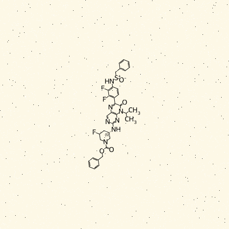 CC(C)n1c(=O)c(-c2ccc(N[S+]([O-])Cc3ccccc3)c(F)c2F)nc2cnc(N[C@H]3CC(F)CN(C(=O)OCc4ccccc4)C3)nc21